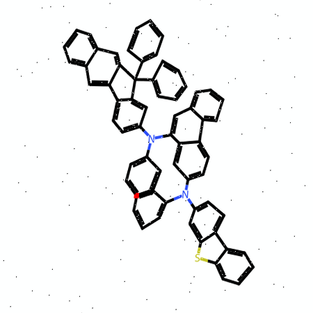 c1ccc(N(c2ccc3c(c2)sc2ccccc23)c2ccc3c(c2)c(N(c2ccccc2)c2ccc4c(c2)C(c2ccccc2)(c2ccccc2)c2cc5ccccc5cc2-4)cc2ccccc23)cc1